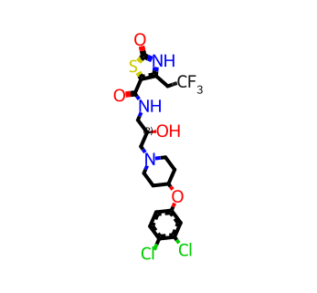 O=C(NC[C@@H](O)CN1CCC(Oc2ccc(Cl)c(Cl)c2)CC1)c1sc(=O)[nH]c1CC(F)(F)F